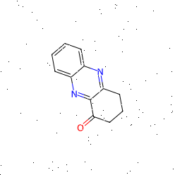 O=C1CCCc2nc3ccccc3nc21